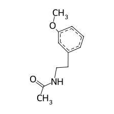 COc1cccc(CCNC(C)=O)c1